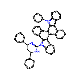 C1=C(c2ccccc2)N=C(n2c3ccccc3c3c4c5ccccc5c5c6ccccc6n(-c6ccccc6)c5c4c4ccccc4c32)NC1c1ccccc1